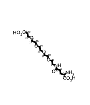 N[C@@H](CCC(=O)NCCOCCOCCOCCOCCC(=O)O)C(=O)O